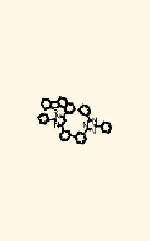 c1ccc(-c2nc(-c3cccc(-c4cccc(-c5nc(-c6ccccc6)nc(-c6ccccc6)n5)c4)c3)cc(-c3cccc4ccc5c6ccccc6sc5c34)n2)cc1